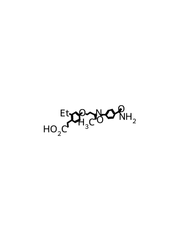 CCc1cc(OCCc2nc(-c3ccc(C(N)=O)cc3)oc2C)ccc1CCC(=O)O